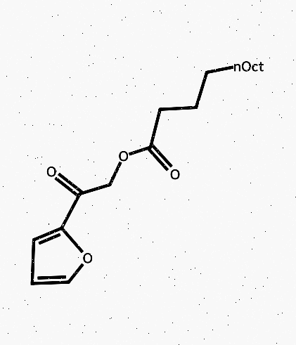 CCCCCCCCCCCC(=O)OCC(=O)c1ccco1